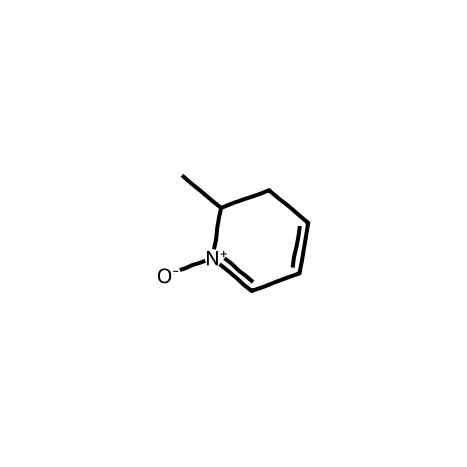 CC1CC=CC=[N+]1[O-]